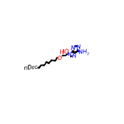 CCCCCCCCCCCCCCCCCCOCCC(O)n1cnc2c(N)ncnc21